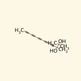 CC#CC#CC#CC#CC#CC(C)(O)C(C)(C)O